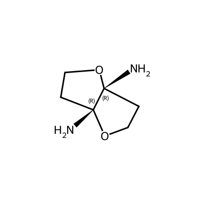 N[C@@]12CCO[C@]1(N)CCO2